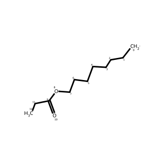 [CH2]CCCCCCCOC(=O)CC